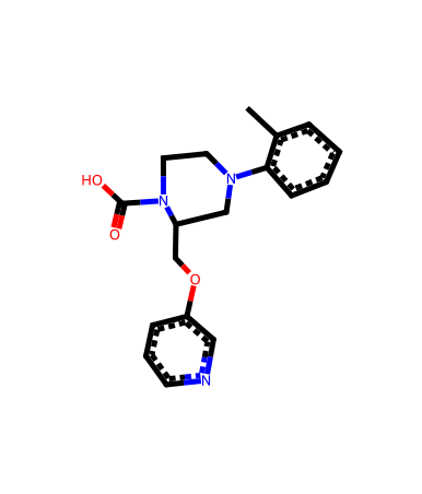 Cc1ccccc1N1CCN(C(=O)O)C(COc2cccnc2)C1